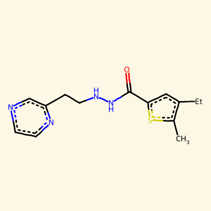 CCc1cc(C(=O)NNCCc2cnccn2)sc1C